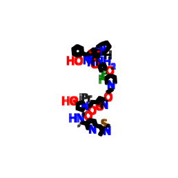 Cc1ncsc1-c1ccc([C@H](C)NC(=O)[C@@H]2C[C@@H](O)CN2C(=O)[C@@H](c2cc(OCCN3CCC(OC4CC(Oc5cc(N6C7CC[C@@H]6CN(c6cc(-c8ccccc8O)nnc6N)C7)ccn5)C4)C(F)(F)C3)no2)C(C)C)cn1